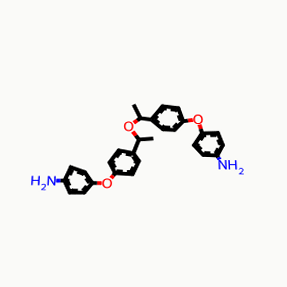 CC(OC(C)c1ccc(Oc2ccc(N)cc2)cc1)c1ccc(Oc2ccc(N)cc2)cc1